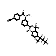 CN(C(=O)c1ccc(C#N)cc1)c1cccc(C(=O)N(I)c2ccc(C(F)(C(F)(F)F)C(F)(F)C(F)(F)F)cc2C(F)(F)F)c1